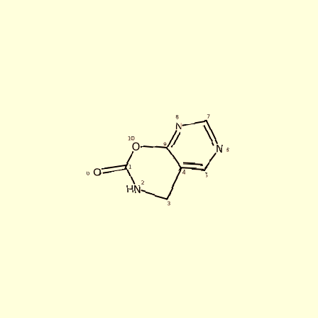 O=C1NCc2cncnc2O1